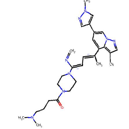 C=N/C(=C\C=C(/C)c1cc(-c2cnn(C)c2)cn2ncc(C#N)c12)N1CCN(C(=O)CCCN(C)C)CC1